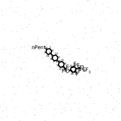 CCCCCC1CCC(C2CCC(C3CCC(C(F)(F)Oc4cc(F)c(C(F)(F)OC(F)(F)F)c(F)c4)CC3)CC2)CC1